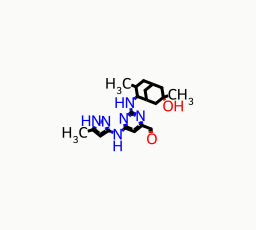 Cc1cc(Nc2cc(C=O)nc(NC3C(C)CC4CC3CC(C)(O)C4)n2)n[nH]1